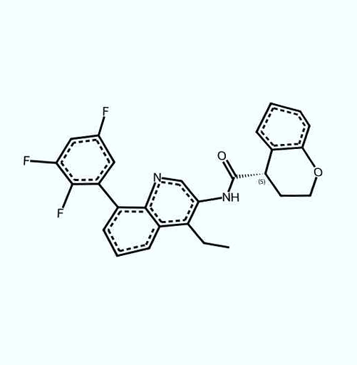 CCc1c(NC(=O)[C@H]2CCOc3ccccc32)cnc2c(-c3cc(F)cc(F)c3F)cccc12